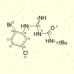 CC(C)(C)NC(=O)NC(=N)Nc1cc(Cl)ccc1Br